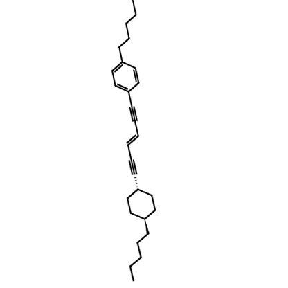 CCCCCc1ccc(C#C/C=C/C#C[C@H]2CC[C@H](CCCCC)CC2)cc1